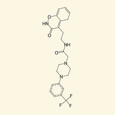 O=C(CN1CCN(c2cccc(C(F)(F)F)c2)CC1)NCCC1=C2CC=CC=C2ONC1=O